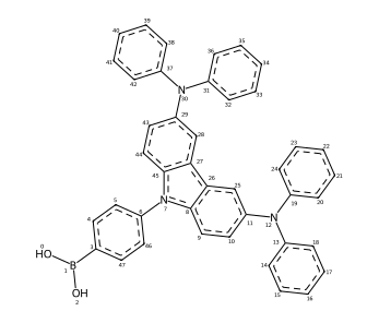 OB(O)c1ccc(-n2c3ccc(N(c4ccccc4)c4ccccc4)cc3c3cc(N(c4ccccc4)c4ccccc4)ccc32)cc1